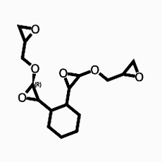 C1CCC(C2O[C@H]2OCC2CO2)C(C2OC2OCC2CO2)C1